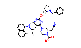 Cc1cccc2cccc(N3CCc4c(nc(OC[C@@H]5CCCN5Cc5ccccc5)nc4N4CCN(C(=O)O)C(CC#N)C4)C3)c12